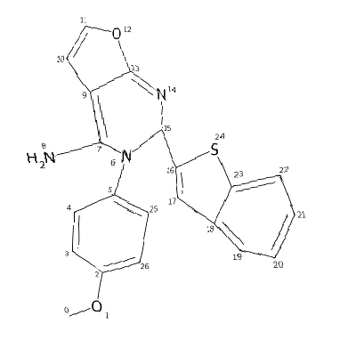 COc1ccc(N2C(N)=c3ccoc3=NC2c2cc3ccccc3s2)cc1